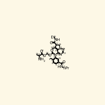 CCCNC(=O)c1ccc(C)c(N(C(=O)OCOC(=O)C(C)N)C2=NC=NN3CC(C(=O)NCC)C(C)=C23)c1